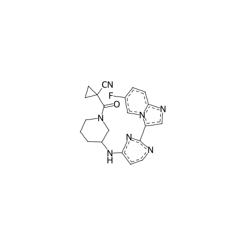 N#CC1(C(=O)N2CCCC(Nc3ccnc(-c4cnc5ccc(F)cn45)n3)C2)CC1